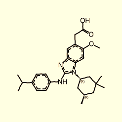 COc1cc2c(cc1CC(=O)O)nc(Nc1ccc(C(C)C)cc1)n2[C@@H]1C[C@H](C)CC(C)(C)C1